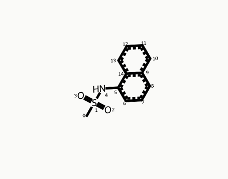 CS(=O)(=O)Nc1cccc2ccccc12